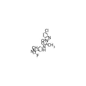 C[C@H](C(=O)Nc1ccc(-c2c(F)cnn2C)cc1)n1cnc2cc(Cl)ccc2c1=O